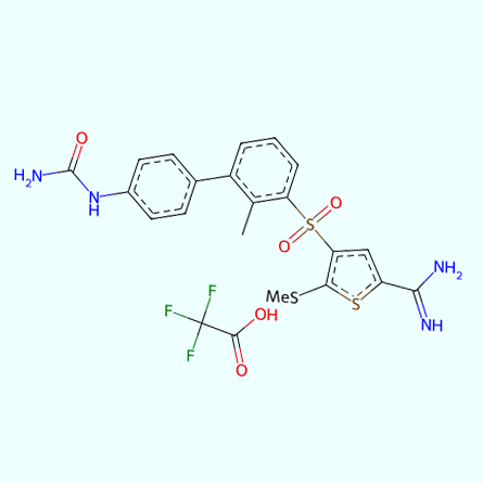 CSc1sc(C(=N)N)cc1S(=O)(=O)c1cccc(-c2ccc(NC(N)=O)cc2)c1C.O=C(O)C(F)(F)F